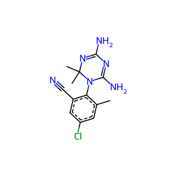 Cc1cc(Cl)cc(C#N)c1N1C(N)=NC(N)=NC1(C)C